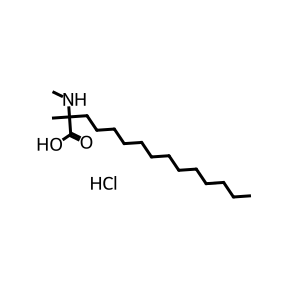 CCCCCCCCCCCCCC(C)(NC)C(=O)O.Cl